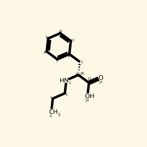 CCCN[C@H](Cc1ccccc1)C(=O)O